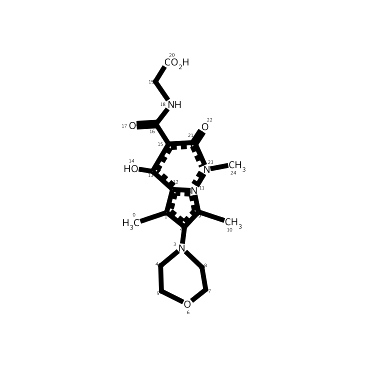 Cc1c(N2CCOCC2)c(C)n2c1c(O)c(C(=O)NCC(=O)O)c(=O)n2C